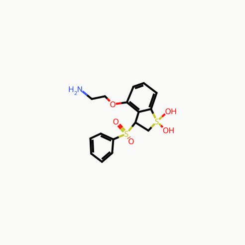 NCCOc1cccc2c1C(S(=O)(=O)c1ccccc1)CS2(O)O